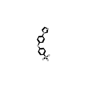 O=S(=O)(Cl)c1ccc(Oc2ccc(-n3ccnc3)cc2)cc1